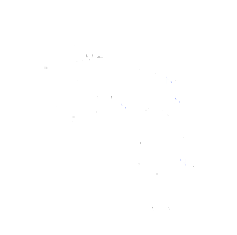 COc1cc2[nH]nc(-c3ccc(C4CC4)nc3)c2nc1-c1cccc2c1CC(O)C2